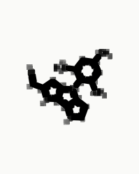 Cc1cc(C)c(-n2c3ccsc3c3sc(C=O)cc32)c(C)c1